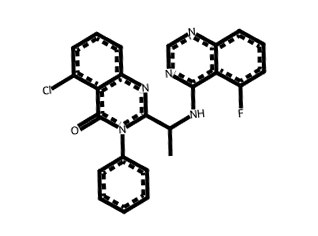 CC(Nc1ncnc2cccc(F)c12)c1nc2cccc(Cl)c2c(=O)n1-c1ccccc1